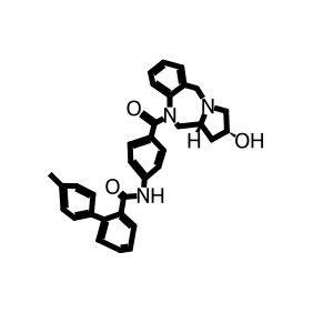 Cc1ccc(-c2ccccc2C(=O)Nc2ccc(C(=O)N3C[C@H]4C[C@@H](O)CN4Cc4ccccc43)cc2)cc1